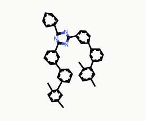 Cc1ccc(C)c(-c2cccc(-c3cccc(-c4nc(-c5ccccc5)nc(-c5cccc(-c6cccc(-c7cc(C)ccc7C)c6)c5)n4)c3)c2)c1